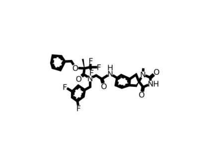 CN1C(=O)NC(=O)[C@@]12Cc1ccc(NC(=O)CN(Cc3cc(F)cc(F)c3)C(=O)[C@](C)(OCc3ccccc3)C(F)(F)F)cc1C2